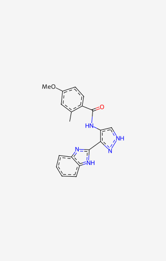 COc1ccc(C(=O)Nc2c[nH]nc2-c2nc3ccccc3[nH]2)c(C)c1